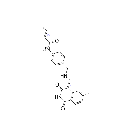 C/C=C/C(=O)Nc1[c]cc(CN/C=C2\C(=O)NC(=O)c3ccc(I)cc32)cc1